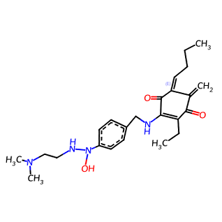 C=C1C(=O)C(CC)=C(NCc2ccc(N(O)NCCN(C)C)cc2)C(=O)/C1=C/CCC